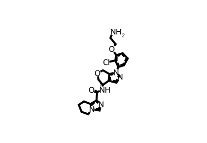 NCCOc1cccc(-n2ncc3c2COC[C@H]3NC(=O)c2ncn3c2CCCC3)c1Cl